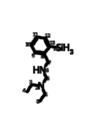 CCN(CC)CNCc1ccccc1[SiH3]